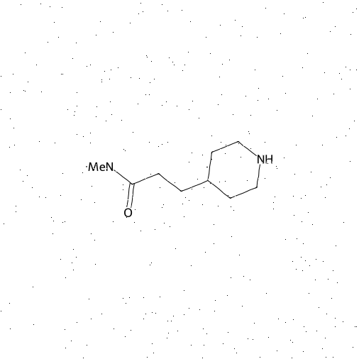 C[N]C(=O)CCC1CCNCC1